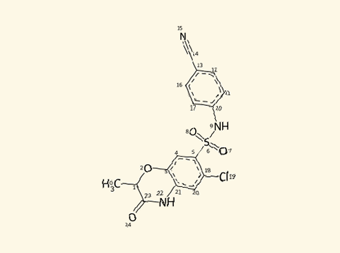 CC1Oc2cc(S(=O)(=O)Nc3ccc(C#N)cc3)c(Cl)cc2NC1=O